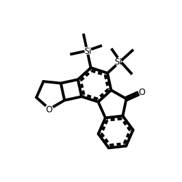 C[Si](C)(C)c1c2c(c3c(c1[Si](C)(C)C)C1CCOC31)-c1ccccc1C2=O